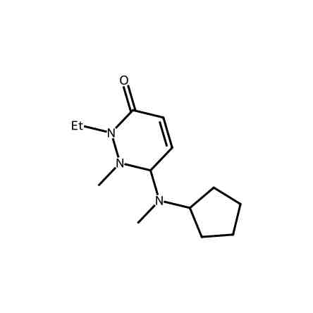 CCN1C(=O)C=CC(N(C)C2CCCC2)N1C